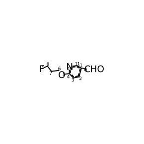 O=Cc1ccc(OCCCF)nc1